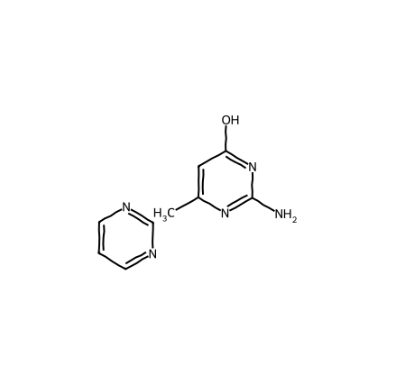 Cc1cc(O)nc(N)n1.c1cncnc1